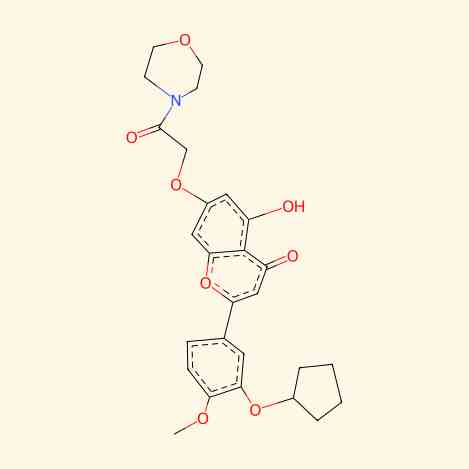 COc1ccc(-c2cc(=O)c3c(O)cc(OCC(=O)N4CCOCC4)cc3o2)cc1OC1CCCC1